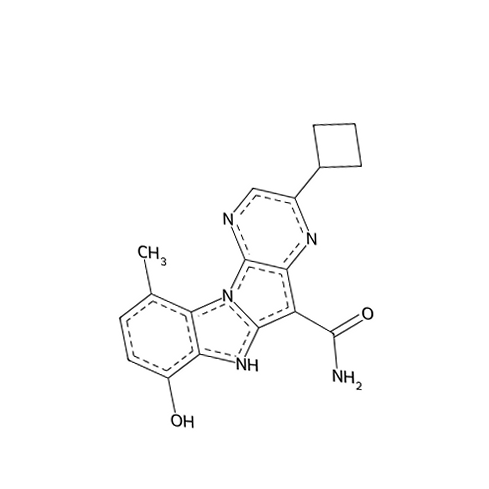 Cc1ccc(O)c2[nH]c3c(C(N)=O)c4nc(C5CCC5)cnc4n3c12